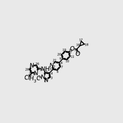 Cn1ncc(-c2ccc(-c3ccc(OC(=O)C4CC4)cc3)cn2)c1Nc1cncc(Cl)n1